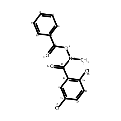 CN(OC(=O)c1ccccc1)C(=O)c1cc(Cl)ccc1Cl